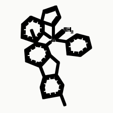 Cc1ccc2c(c1)Cc1c-2ccc(C)[c]1[Zr](=[SiH2])([C]1=CC=CC1)([c]1ccccc1)[c]1ccccc1